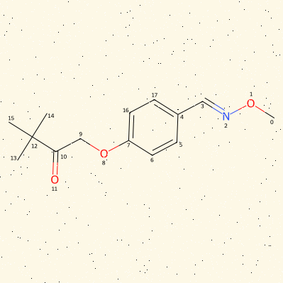 CON=Cc1ccc(OCC(=O)C(C)(C)C)cc1